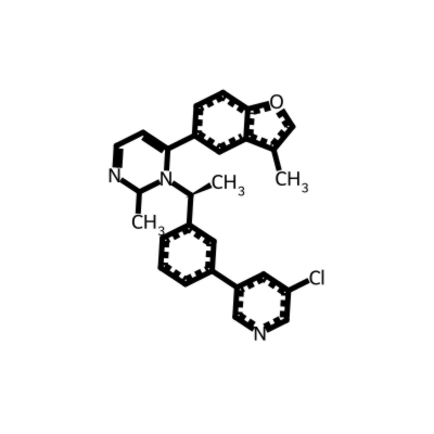 Cc1coc2ccc(C3=CC=NC(C)N3[C@@H](C)c3cccc(-c4cncc(Cl)c4)c3)cc12